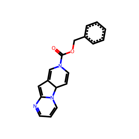 O=C(OCc1ccccc1)N1C=CC2C(=C1)C=C1N=CC=CN12